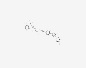 Cc1ccc(C(C)C)c(N2C(=O)CS/C2=N\C(=O)NC(C)CC#Cc2ccc(-c3ncn(-c4ccc(OC(F)(F)F)cc4)n3)cc2)c1